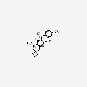 CC(C)c1nc2c(c(I)c1[C@H](O)c1ccc(C(F)(F)F)cc1)[C@@H](O)CC1(CCC1)C2